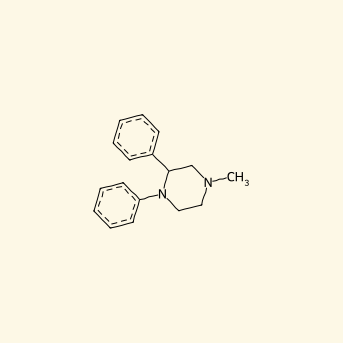 CN1CCN(c2ccccc2)C(c2ccccc2)C1